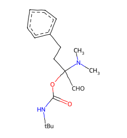 CN(C)C(C=O)(CCc1ccccc1)OC(=O)NC(C)(C)C